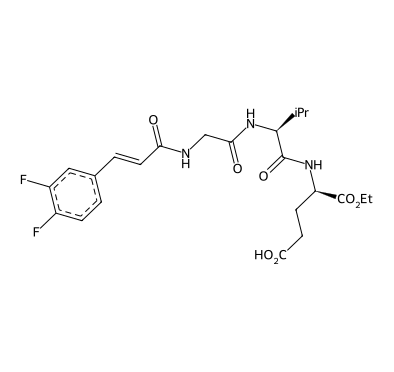 CCOC(=O)[C@@H](CCC(=O)O)NC(=O)[C@@H](NC(=O)CNC(=O)/C=C/c1ccc(F)c(F)c1)C(C)C